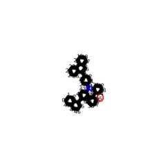 c1ccc2c(-c3ccc(N(c4ccc(-c5cc6ccccc6c6ccccc56)cc4)c4cccc5oc6ccccc6c45)cc3)cccc2c1